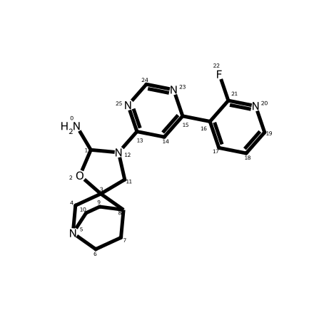 NC1OC2(CN3CCC2CC3)CN1c1cc(-c2cccnc2F)ncn1